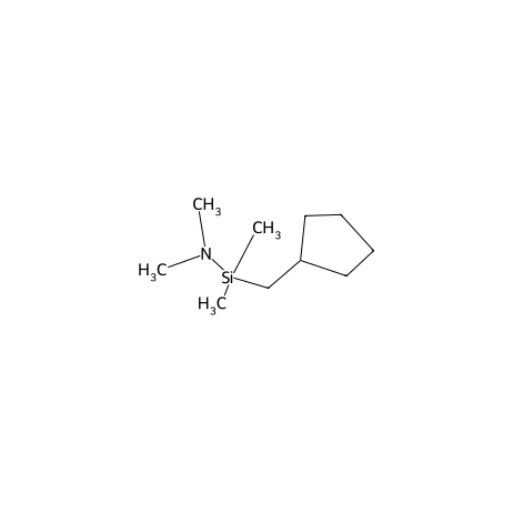 CN(C)[Si](C)(C)CC1CCCC1